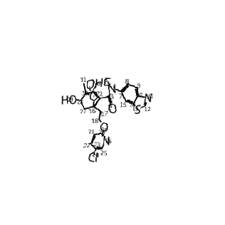 C[C@H]1[C@@H](C(=O)N(C=O)c2ccc3ncsc3c2)C2(CCOc3ccc(Cl)cn3)C[C@@H](O)C1(C)O2